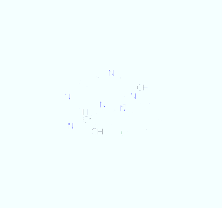 Cn1c(-c2cncc(-c3ccnc(C#N)c3)c2N2CCC(C)(C)C2)nc2c(Cl)cccc21